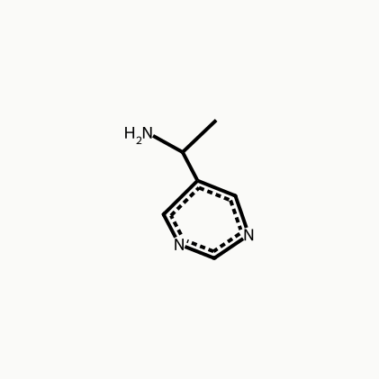 CC(N)c1cncnc1